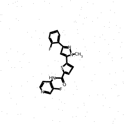 Cn1nc(-c2ccccc2F)cc1-c1ccc(C(=O)Nc2ccncc2F)s1